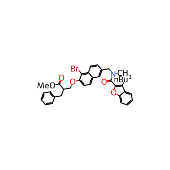 CCCCc1c(C(=O)N(C)Cc2ccc3c(Br)c(OCC(Cc4ccccc4)C(=O)OC)ccc3c2)oc2ccccc12